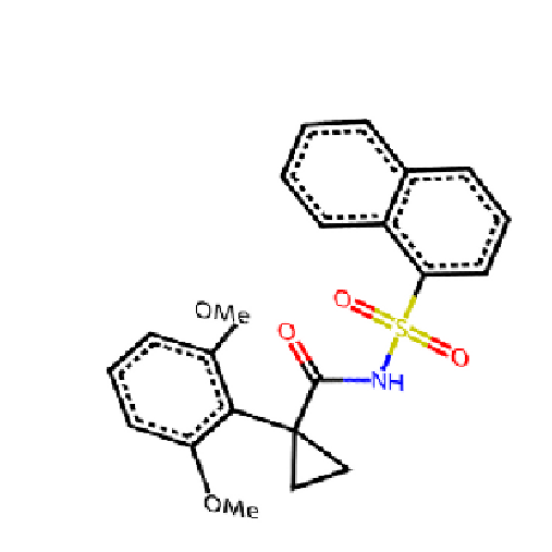 COc1cccc(OC)c1C1(C(=O)NS(=O)(=O)c2cccc3ccccc23)CC1